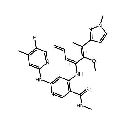 C=C/C=C(Nc1cc(Nc2cc(C)c(F)cn2)ncc1C(=O)NC)\C(OC)=C(/C)c1ccn(C)n1